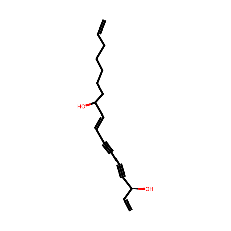 C=CCCCCCC(O)/C=C/C#CC#C[C@@H](O)C=C